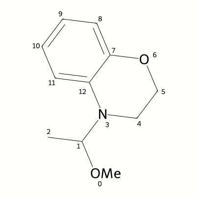 COC(C)N1CCOc2ccccc21